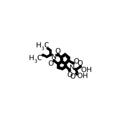 CCCC(CCC)N1C(=O)c2ccc3c4c(ccc(c24)C1=O)C(=O)N(C(C(=O)O)C(=O)O)C3=O